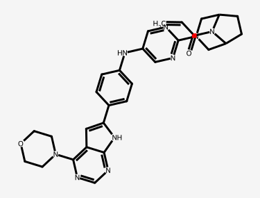 C=CC(=O)N1C2CCC1CN(c1ncc(Nc3ccc(-c4cc5c(N6CCOCC6)ncnc5[nH]4)cc3)cn1)C2